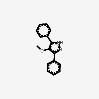 COc1c(-c2ccccc2)n[nH]c1-c1ccccc1